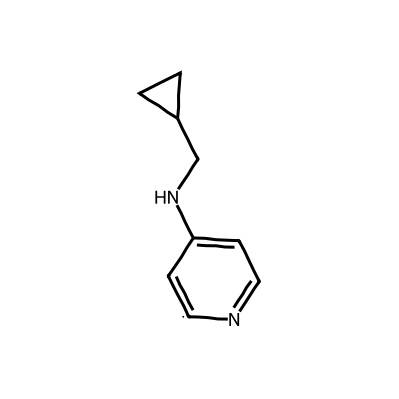 [c]1cc(NCC2CC2)ccn1